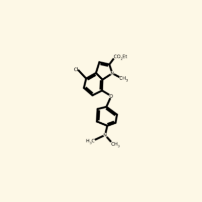 CCOC(=O)c1cc2c(Cl)ccc(Oc3ccc(N(C)C)cc3)c2n1C